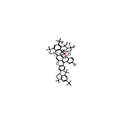 CCN(c1ccc2c(-c3cc(Br)ccc3S(=O)(=O)NS(=O)(=O)C(C(F)(F)F)C(F)(F)F)c3cc/c(=[N+](/CC)c4c(C(C)(C)C)cc(C(C)(C)C)cc4C(C)(C)C)cc-3oc2c1)c1c(C(C)(C)C)cc(C(C)(C)C)cc1C(C)(C)C